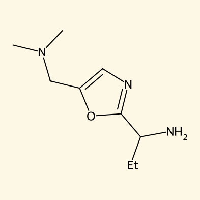 CCC(N)c1ncc(CN(C)C)o1